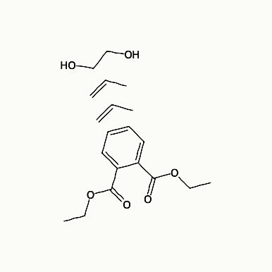 C=CC.C=CC.CCOC(=O)c1ccccc1C(=O)OCC.OCCO